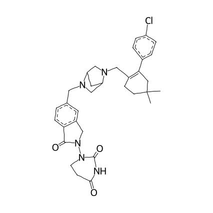 CC1(C)CCC(CN2CC3CC2CN3Cc2ccc3c(c2)CN(N2CCC(=O)NC2=O)C3=O)=C(c2ccc(Cl)cc2)C1